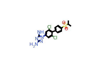 CC(C)S(=O)(=O)c1ccc(-c2c(Cl)cc(-n3nc(N)nc3N)cc2Cl)cc1